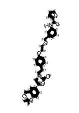 CC1(C)OCc2cc([C@@H]3CN(CCc4ccc(OCCOCc5cccc(NC(=O)c6ccco6)c5)cc4)C(=O)O3)ccc2O1